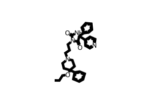 CCCOC1(c2ccccc2)CCN(CCCN2C(=O)NC(c3ccccc3)(c3ccncc3)C2=O)CC1